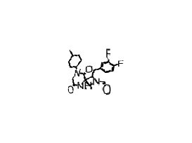 CC1CCC(N2CC(=O)NC3(CN(C=O)C3Cc3ccc(F)c(F)c3)C2=O)CC1